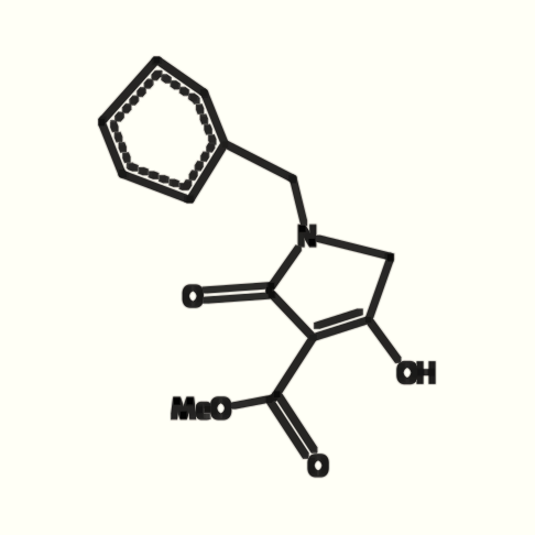 COC(=O)C1=C(O)CN(Cc2ccccc2)C1=O